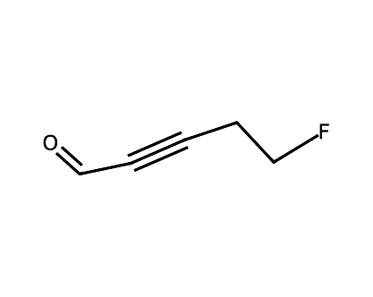 O=CC#CCCF